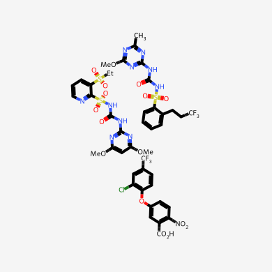 CCS(=O)(=O)c1cccnc1S(=O)(=O)NC(=O)Nc1nc(OC)cc(OC)n1.COc1nc(C)nc(NC(=O)NS(=O)(=O)c2ccccc2CCC(F)(F)F)n1.O=C(O)c1cc(Oc2ccc(C(F)(F)F)cc2Cl)ccc1[N+](=O)[O-]